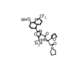 COc1ccc(-c2nc(C(=O)N[C@H](CC(=O)N3CCCC3)c3ccco3)c([C@H](C)N)o2)c2ccc(C(F)(F)F)nc12